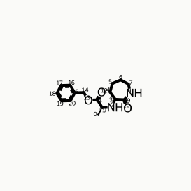 C[C@H](NC1CCCCNC1=O)C(=O)OCc1ccccc1